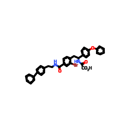 O=C(O)C(=O)NC(Cc1ccc(C(=O)NCCc2ccc(-c3ccccc3)cc2)cc1Br)c1ccc(Oc2ccccc2)cc1